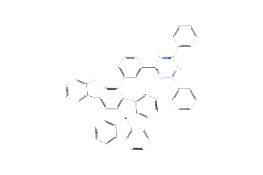 c1ccc(-c2nc(-c3ccccc3)nc(-c3cccc(-c4c5c(cc6c4oc4ccccc46)C(c4ccccc4)(c4ccccc4)c4ccccc4-5)c3)n2)cc1